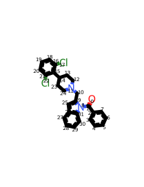 O=C(c1ccccc1)n1c(CN2CCC(c3c(Cl)cccc3Cl)CC2)cc2ccccc21